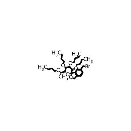 CCCCO[C@H]1[C@H](OCCCC)[C@@H](OCCCC)[C@@]2(OCc3ccc(CBr)cc32)O[C@@H]1[C@@H](C)OCCCC